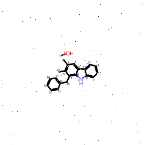 CO.Cc1cc2c([nH]c3ccccc32)c(Cc2ccccc2)c1C